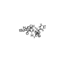 CC(C)(C)OC(=O)N1C[C@@H](CC[C@H](OS(C)(=O)=O)c2ccccc2)CC1(C)C